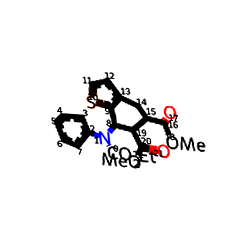 CCOC(=O)N(c1ccccc1)C1c2sccc2CC(C(=O)OC)C1C(=O)OC